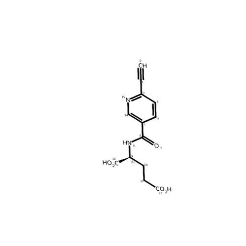 C#Cc1ccc(C(=O)N[C@@H](CCC(=O)O)C(=O)O)cn1